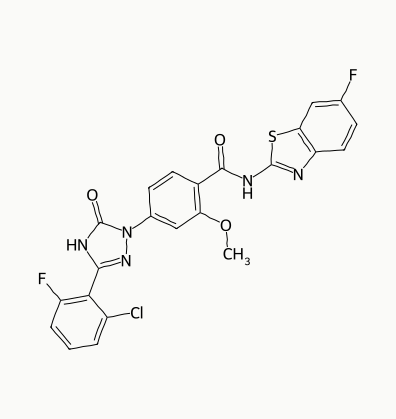 COc1cc(-n2nc(-c3c(F)cccc3Cl)[nH]c2=O)ccc1C(=O)Nc1nc2ccc(F)cc2s1